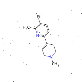 CCc1ccc(C2=CCN(C)CC2)nc1C